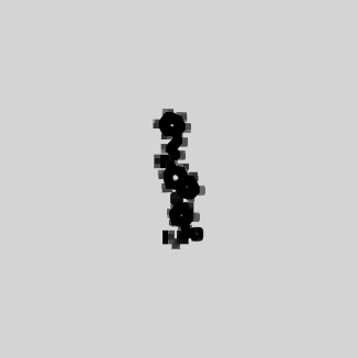 NC(=O)c1ccc(Oc2cccc3c2CCC(NCCCc2ccccc2)C3)nc1